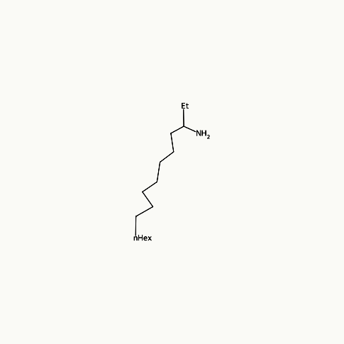 CCCCCCCCCCCCCC(N)CC